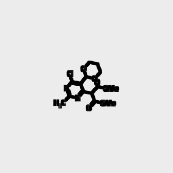 COC(=O)C(C(=O)OC)c1nc(C)nc(Cl)c1C1OCCCO1